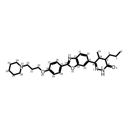 CCCC1C(=O)NN=C(c2ccc3nc(-c4ccc(OCCCN5CCCCC5)cc4)oc3c2)C1C